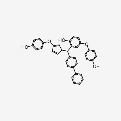 Oc1ccc(OC2=CC(C(c3ccc(-c4ccccc4)cc3)c3cc(Oc4ccc(O)cc4)ccc3O)C=C2)cc1